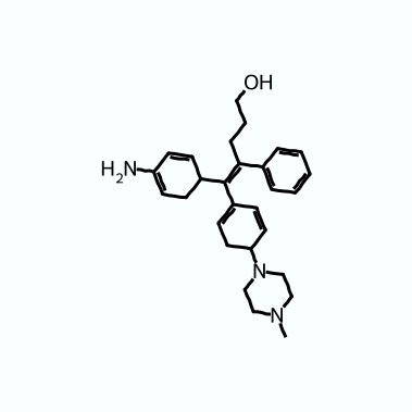 CN1CCN(C2C=CC(/C(=C(/CCCO)c3ccccc3)C3C=CC(N)=CC3)=CC2)CC1